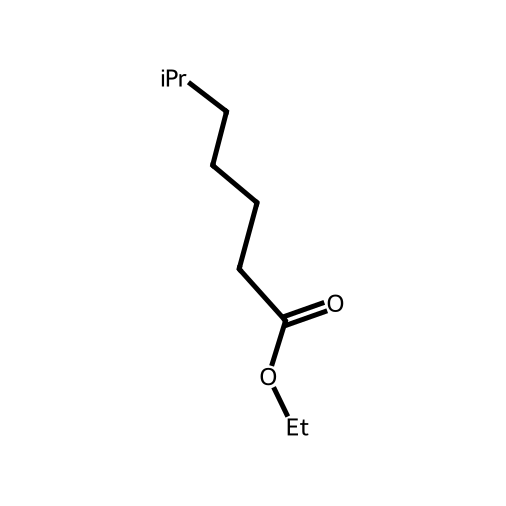 CCOC(=O)CCCCC(C)C